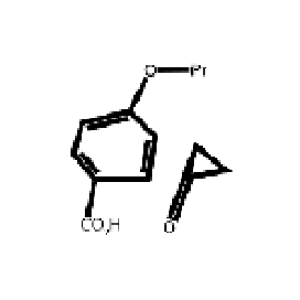 CC(C)Oc1ccc(C(=O)O)cc1.O=C1CC1